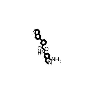 Nc1nccc2cc(NC(=O)C(O)c3cccc(-c4ccc5ncccc5c4)c3)ccc12